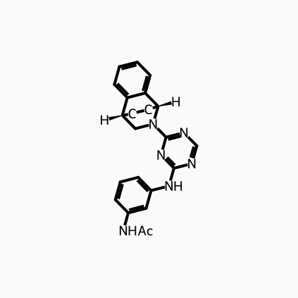 CC(=O)Nc1cccc(Nc2ncnc(N3C[C@H]4CC[C@@H]3c3ccccc34)n2)c1